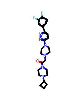 O=C(CN1CCN(c2ccc(-c3ccc(F)c(F)c3)nn2)CC1)N1CCN(C2CCC2)CC1